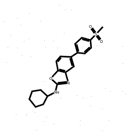 CS(=O)(=O)c1ccc(-c2ccc3oc(NC4CCCCC4)nc3c2)cc1